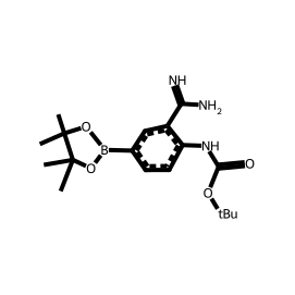 CC(C)(C)OC(=O)Nc1ccc(B2OC(C)(C)C(C)(C)O2)cc1C(=N)N